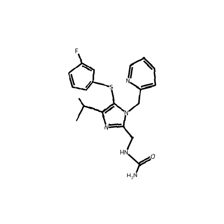 CC(C)c1nc(CNC(N)=O)n(Cc2ccccn2)c1Sc1cccc(F)c1